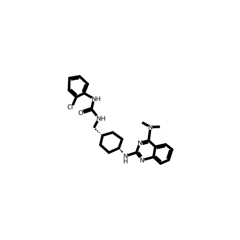 CN(C)c1nc(N[C@H]2CC[C@@H](CNC(=O)Nc3ccccc3Cl)CC2)nc2ccccc12